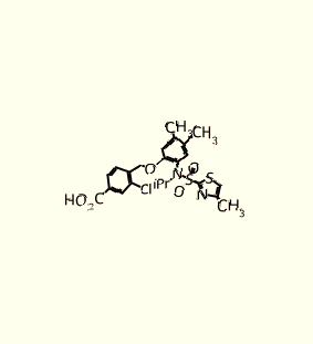 Cc1csc(S(=O)(=O)N(c2cc(C)c(C)cc2OCc2ccc(C(=O)O)cc2Cl)C(C)C)n1